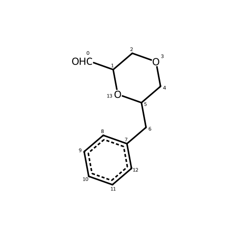 O=CC1COCC(Cc2ccccc2)O1